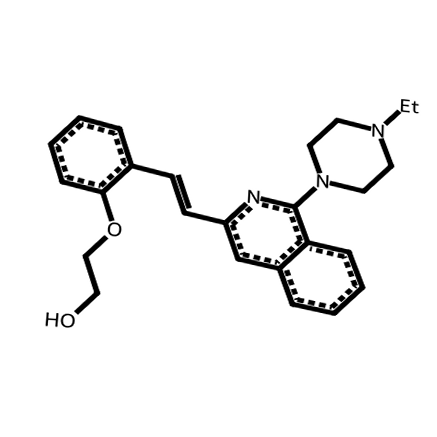 CCN1CCN(c2nc(C=Cc3ccccc3OCCO)cc3ccccc23)CC1